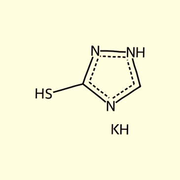 Sc1nc[nH]n1.[KH]